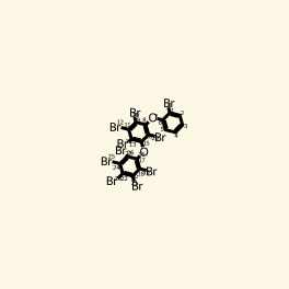 Brc1ccccc1Oc1c(Br)c(Br)c(Br)c(Oc2c(Br)c(Br)c(Br)c(Br)c2Br)c1Br